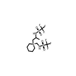 CC(C[N+]1(CNS(=O)(=O)C(F)(F)F)CCCCC1)NS(=O)(=O)C(F)(F)F